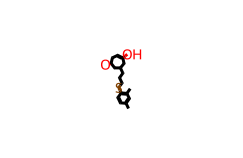 Cc1ccc(SCCCC2CC(=O)CC=C(O)C2)c(C)c1